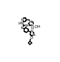 Cl.c1cc(CN2CCNCC2)cc(Nc2nc3ccc(-c4cc(OCC5CCC5)ncn4)cc3[nH]2)n1